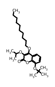 CCCCCCCCCCOc1c(OC(C)C)c(=O)oc2c(OC(C)(C)C)cccc12